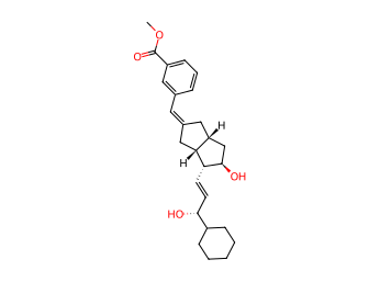 COC(=O)c1cccc(C=C2C[C@@H]3C[C@@H](O)[C@H](/C=C/[C@@H](O)C4CCCCC4)[C@@H]3C2)c1